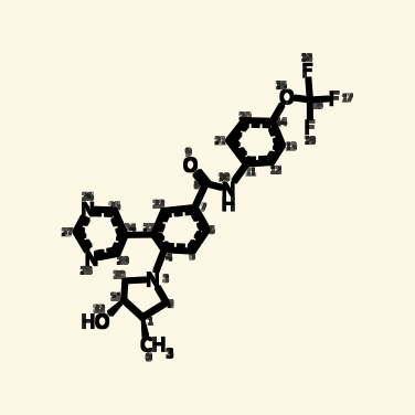 C[C@@H]1CN(c2ccc(C(=O)Nc3ccc(OC(F)(F)F)cc3)cc2-c2cncnc2)C[C@@H]1O